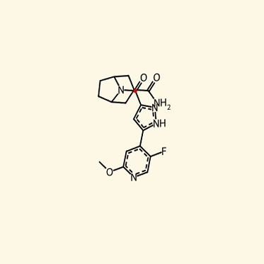 COc1cc(-c2cc(C(=O)N3C4CCC3CC(C(N)=O)C4)n[nH]2)c(F)cn1